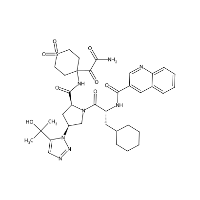 CC(C)(O)c1cnnn1[C@H]1C[C@@H](C(=O)NC2(C(=O)C(N)=O)CCS(=O)(=O)CC2)N(C(=O)[C@@H](CC2CCCCC2)NC(=O)c2cnc3ccccc3c2)C1